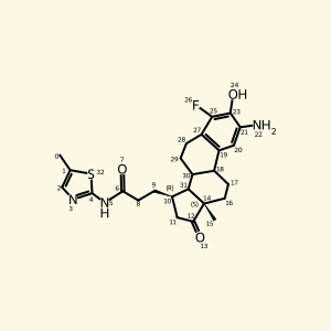 Cc1cnc(NC(=O)CC[C@@H]2CC(=O)[C@@]3(C)CCC4c5cc(N)c(O)c(F)c5CCC4C23)s1